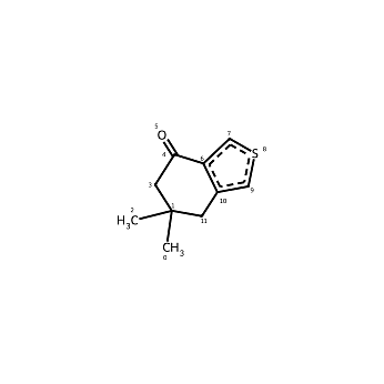 CC1(C)CC(=O)c2cscc2C1